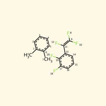 Cc1ccccc1C.FC(F)=C(F)c1cccc(F)c1F